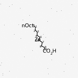 CCCCCCCCCCCCCCCCCC(=O)O.[Zn]